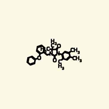 Cc1cc(C)c(N2C(=O)N(Cc3ccccc3Oc3ccccc3)C(C)(C)C2=O)cc1C